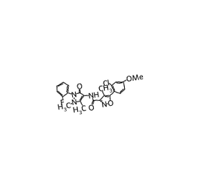 COc1ccc(-c2onc(C(=O)Nc3c(C)n(C)n(-c4ccccc4F)c3=O)c2C)c(Cl)c1